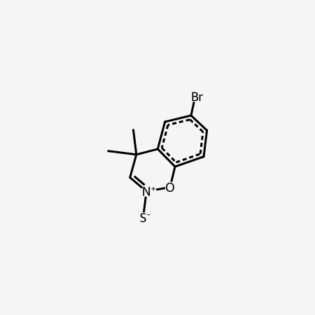 CC1(C)C=[N+]([S-])Oc2ccc(Br)cc21